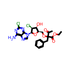 CCOC(=O)C(Cc1ccccc1)(OC[C@H]1O[C@@H](n2cnc3c(N)nc(Cl)nc32)[C@@H](Cl)[C@@H]1O)C(C)=O